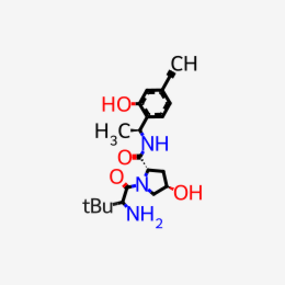 C#Cc1ccc([C@H](C)NC(=O)[C@@H]2C[C@@H](O)CN2C(=O)C(N)C(C)(C)C)c(O)c1